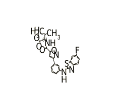 CC(C)[C@H](NC(=O)c1cc(-c2cccc(Nc3nc4ccc(F)cc4s3)c2)no1)C(=O)O